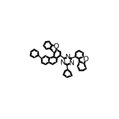 c1ccc(-c2ccc3ccc4c(-c5nc(-c6ccccc6)nc(-c6cccc7oc8ccccc8c67)n5)cc5oc6ccccc6c5c4c3c2)cc1